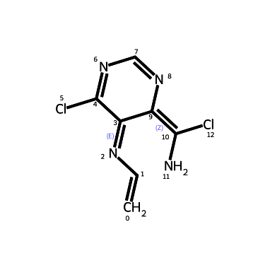 C=C/N=C1/C(Cl)=NC=N/C1=C(/N)Cl